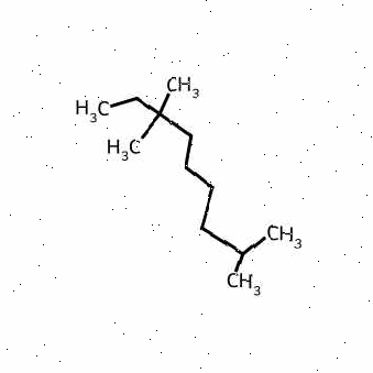 CCC(C)(C)CCCCC(C)C